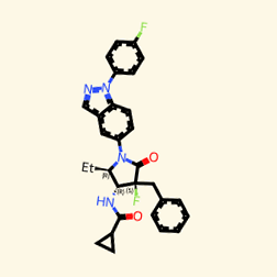 CC[C@@H]1[C@@H](NC(=O)C2CC2)[C@@](F)(Cc2ccccc2)C(=O)N1c1ccc2c(cnn2-c2ccc(F)cc2)c1